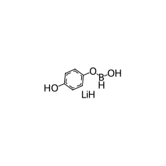 OBOc1ccc(O)cc1.[LiH]